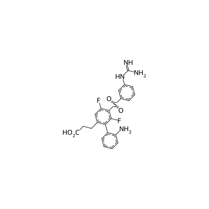 N=C(N)Nc1cccc(S(=O)(=O)c2c(F)cc(CCC(=O)O)c(-c3ccccc3N)c2F)c1